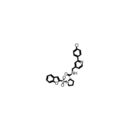 O=C(NCc1ccnc(-c2ccc(Cl)cc2)c1)[C@@H]1CCCN1S(=O)(=O)c1cc2ccccc2o1